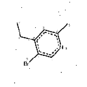 CCc1cc(C)ncc1Br